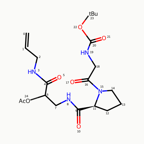 C=CCNC(=O)C(CNC(=O)[C@@H]1CCCN1C(=O)CNC(=O)OC(C)(C)C)OC(C)=O